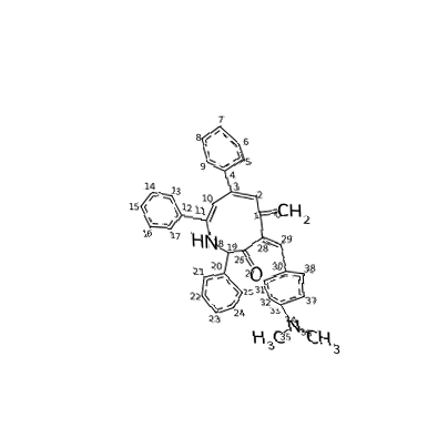 C=C1/C=C(c2ccccc2)\C=C(\c2ccccc2)NC(c2ccccc2)C(=O)/C1=C\c1ccc(N(C)C)cc1